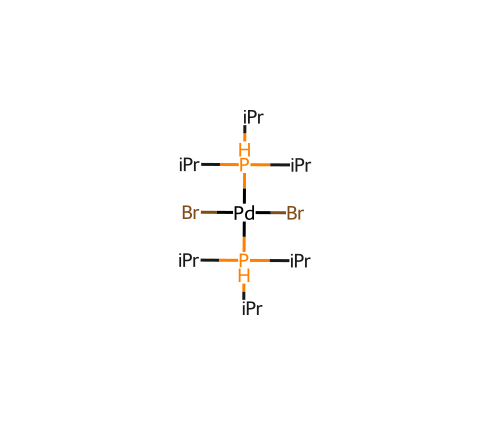 CC(C)[PH](C(C)C)(C(C)C)[Pd]([Br])([Br])[PH](C(C)C)(C(C)C)C(C)C